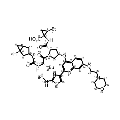 CC[C@@H]1C[C@]1(NC(=O)[C@@H]1C[C@@H](Oc2cc(-c3csc(NC(C)C)n3)nc3cc(OCCN4CCOCC4)ccc23)CN1C(=O)[C@@H](NC(=O)OC1CC2C[C@H]2C1)C(C)(C)C)C(=O)O